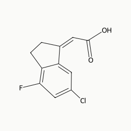 O=C(O)/C=C1/CCc2c(F)cc(Cl)cc21